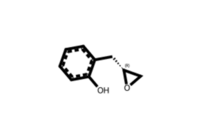 Oc1ccccc1C[C@@H]1CO1